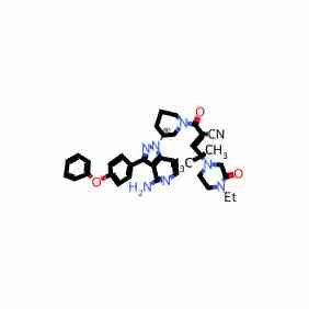 CCN1CCN(C(C)(C)C=C(C#N)C(=O)N2CCC[C@@H](n3nc(-c4ccc(Oc5ccccc5)cc4)c4c(N)nccc43)C2)CC1=O